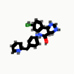 O=C(Nc1ccc(Cc2ccccn2)cc1)c1cncnc1-c1ccc(Cl)cc1